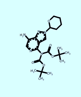 CC(C)(C)OC(=O)N(C(=O)OC(C)(C)C)c1ncc(N)c2nn(C3CCCCO3)cc12